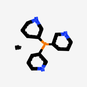 [Rh].c1cncc(P(c2cccnc2)c2cccnc2)c1